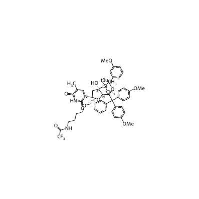 COc1ccc(C(c2ccccc2)(c2ccc(OC)cc2)C(OCc2cccc(OC)c2)[C@H]2O[C@@](COCCCCNC(=O)C(F)(F)F)(n3cc(C)c(=O)[nH]c3=O)C[C@@]2(O)[Si](C)(C)C(C)(C)C)cc1